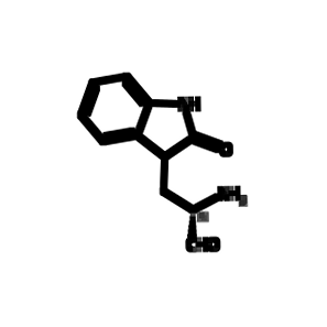 N[C@H](C=O)CC1C(=O)Nc2ccccc21